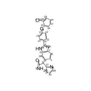 NC(=O)C(c1ccc2nc(-c3ccc(Oc4ccccc4Cl)cc3)[nH]c2c1)c1nccs1